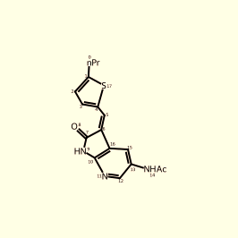 CCCc1ccc(C=C2C(=O)Nc3ncc(NC(C)=O)cc32)s1